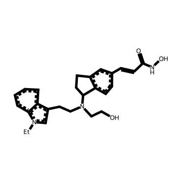 CCn1cc(CCN(CCO)C2CCc3cc(C=CC(=O)NO)ccc32)c2ccccc21